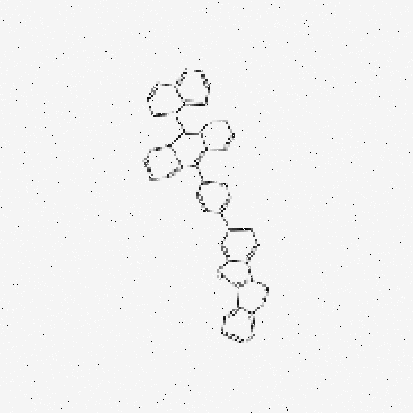 c1ccc2c(-c3c4ccccc4c(-c4ccc(-c5ccc6c(c5)sc5c7ccccc7ccc65)cc4)c4ccccc34)cccc2c1